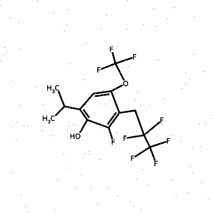 CC(C)c1cc(OC(F)(F)F)c(CC(F)(F)C(F)(F)F)c(F)c1O